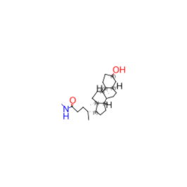 CNC(=O)CCC(C)[C@H]1CC[C@H]2C3CC[C@@H]4C[C@H](O)CC[C@]4(C)[C@H]3CC[C@]12C